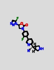 N#C[C@]1(c2ccc(-c3ccc(N4CC(n5nncc5F)OC4=O)cc3F)cn2)[C@@H]2CNC[C@@H]21